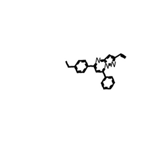 C=Cc1cc2nc(-c3ccc(CC)cc3)cc(-c3ccccc3)n2n1